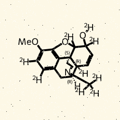 [2H]OC1([2H])C=C[C@@]2([2H])[C@H]3Cc4c([2H])c([2H])c(OC)c5c4[C@@]2(CCN3C([2H])([2H])[2H])C1([2H])O5